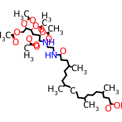 CC(=O)OCC(OC(C)=O)[C@@H](OC(C)=O)[C@H](OC(C)=O)[C@@H](OC(C)=O)C(=O)NCCNC(=O)CCC(C)CCCC(C)CCCCC(C)CCCC(C)CCC(=O)O